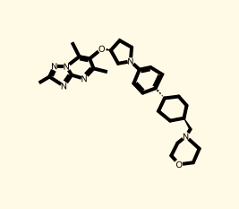 Cc1nc2nc(C)c(O[C@@H]3CCN(c4ccc([C@H]5CC[C@H](CN6CCOCC6)CC5)cc4)C3)c(C)n2n1